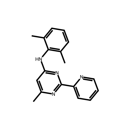 Cc1cc(Nc2c(C)cccc2C)nc(-c2ccccn2)n1